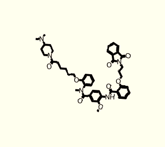 COc1cc(C(=O)N(C)c2ccccc2OCCCCCC(=O)N2CCC(N(C)C)CC2)ccc1NC(=O)c1ccccc1OCCCN1C(=O)c2ccccc2C1=O